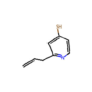 C=CCc1[c]c(S)ccn1